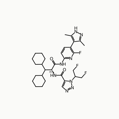 Cc1n[nH]c(C)c1-c1ccc(NC(=O)[C@@H](NC(=O)c2cnnn2C(CF)CF)C(C2CCCCC2)C2CCCCC2)nc1F